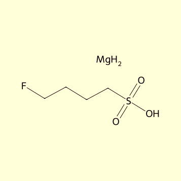 O=S(=O)(O)CCCCF.[MgH2]